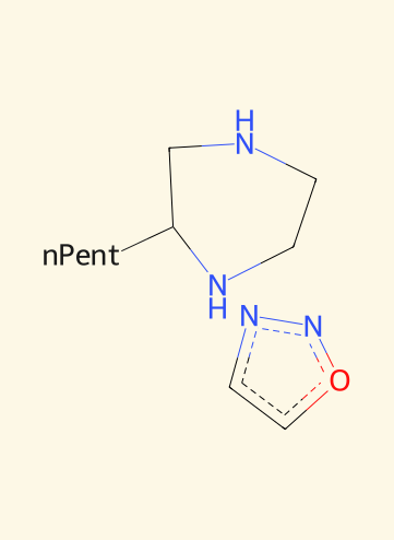 CCCCCC1CNCCN1.c1conn1